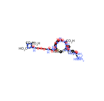 CCCC[C@H](NC(=O)CCC(=O)NCCCOCCOCCOCCCNC(=O)CN1CCN(CC(=O)O)CCN(CC(=O)O)CCN(CC(=O)O)CC1)C(=O)N[C@H]1CSCc2cccc(c2)CSC[C@@H](C(=O)N[C@@H](CC(=O)O)C(=O)NCc2ccc(C(=O)N[C@@H](CCCNC(=N)N)C(N)=O)cc2)NC(=O)[C@H](Cc2ccccc2)NC(=O)[C@H](CCC(=O)O)NC(=O)[C@H]([C@@H](C)O)NC(=O)[C@@H]2CCCN2C(=O)[C@@H]2CCCN2C1=O